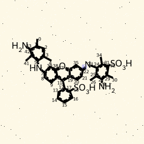 Cc1cc(C)c(Nc2ccc3c(-c4ccccc4S(=O)(=O)O)c4cc/c(=N\c5c(C)c(N)c(C)c(S(=O)(=O)O)c5C)cc-4oc3c2)c(C)c1N